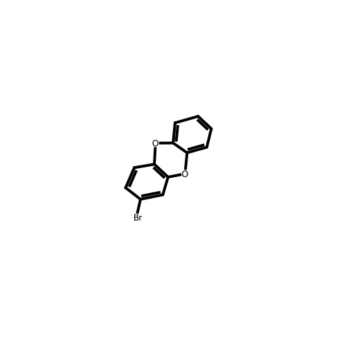 Brc1ccc2c(c1)Oc1ccccc1O2